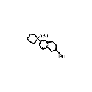 CCCCC1(c2ccc3c(c2)CCC(CC(C)CC)C3)CCCCC1